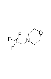 F[B-](F)(F)CN1CCOCC1